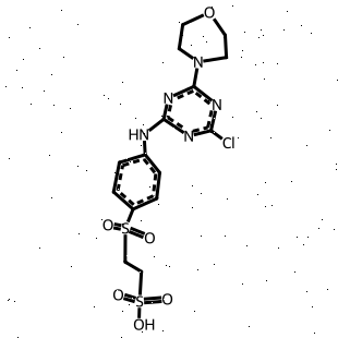 O=S(=O)(O)CCS(=O)(=O)c1ccc(Nc2nc(Cl)nc(N3CCOCC3)n2)cc1